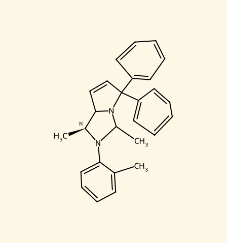 Cc1ccccc1N1C(C)N2C(C=CC2(c2ccccc2)c2ccccc2)[C@@H]1C